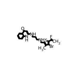 C=C(F)c1sc(CNCCCNc2cc(=O)c3ccccc3[nH]2)c(C)c1Br